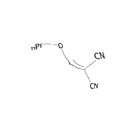 CCCOC=C(C#N)C#N